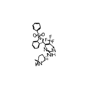 CC1(C)CC[C@H](Nc2ncc(C(F)(F)F)c(-c3cn(S(=O)(=O)c4ccccc4)c4ccccc34)n2)CN1